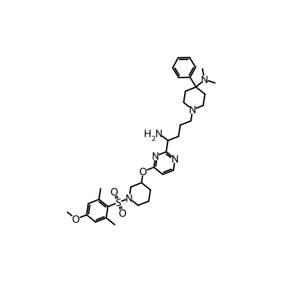 COc1cc(C)c(S(=O)(=O)N2CCCC(Oc3ccnc(C(N)CCCN4CCC(c5ccccc5)(N(C)C)CC4)n3)C2)c(C)c1